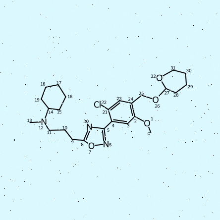 COc1cc(-c2noc(CCCN(C)C3CC[CH]CC3)n2)c(Cl)cc1COC1CCCCO1